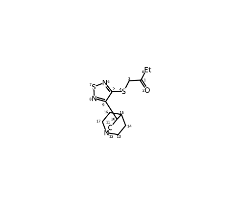 CCC(=O)CSc1nsnc1C1CN2CCC1CC2